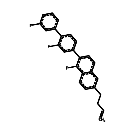 C=CCCc1ccc2c(F)c(-c3ccc(-c4cccc(F)c4)c(F)c3)ccc2c1